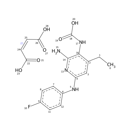 CCc1cc(Nc2ccc(F)cc2)nc(N)c1NC(=O)O.O=C(O)/C=C\C(=O)O